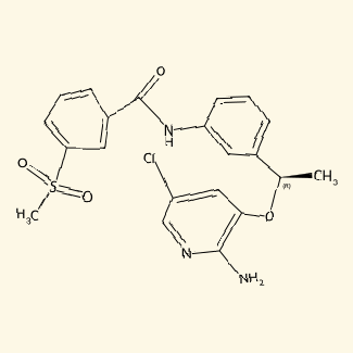 C[C@@H](Oc1cc(Cl)cnc1N)c1cccc(NC(=O)c2cccc(S(C)(=O)=O)c2)c1